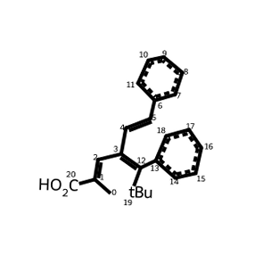 CC(=CC(C=Cc1ccccc1)=C(c1ccccc1)C(C)(C)C)C(=O)O